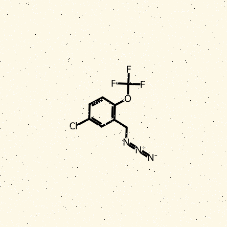 [N-]=[N+]=NCc1cc(Cl)ccc1OC(F)(F)F